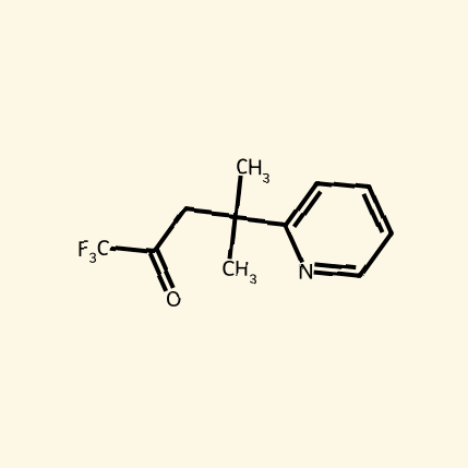 CC(C)(CC(=O)C(F)(F)F)c1ccccn1